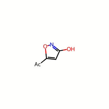 CC(=O)c1cc(O)no1